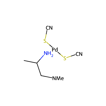 CNCC(C)N.N#C[S][Pd][S]C#N